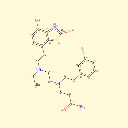 CC(C)(C)CN(CCc1ccc(O)c2[nH]c(=O)sc12)CCN(CCC(N)=O)CCc1cccc(F)c1